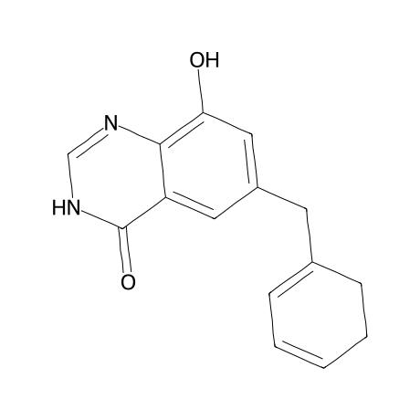 O=c1[nH]cnc2c(O)cc(CC3=CC=CCC3)cc12